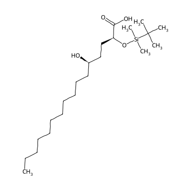 CCCCCCCCCCC[C@@H](O)CC[C@H](O[Si](C)(C)C(C)(C)C)C(=O)O